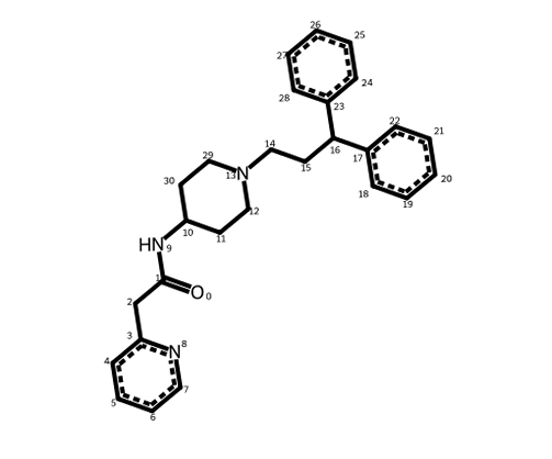 O=C(Cc1ccccn1)NC1CCN(CCC(c2ccccc2)c2ccccc2)CC1